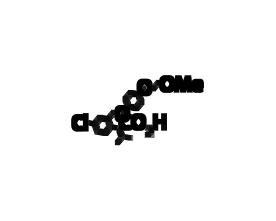 COCCOc1ccc(OCc2cc(Cl)ccc2C(C(=O)O)=C(C)C)cc1